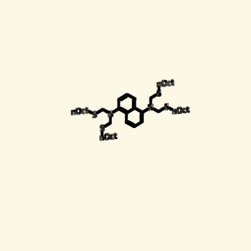 CCCCCCCCSCN(CSCCCCCCCC)c1cccc2c(N(CSCCCCCCCC)CSCCCCCCCC)cccc12